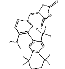 CN(C)c1ccc(C=C2SC(=O)NC2=O)cc1-c1cc2c(cc1C(F)(F)F)C(C)(C)CCC2(C)C